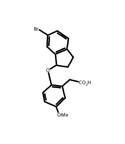 COc1ccc(OC2CCc3ccc(Br)cc32)c(CC(=O)O)c1